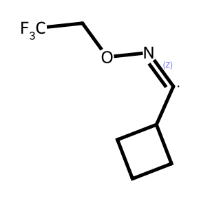 FC(F)(F)CO/N=[C]\C1CCC1